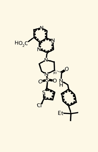 CCC(C)(C)c1ccc(CNC(=O)[C@H]2CN(c3cnc4cncc(C(=O)O)c4n3)CCN2S(=O)(=O)c2ccc(Cl)s2)cc1